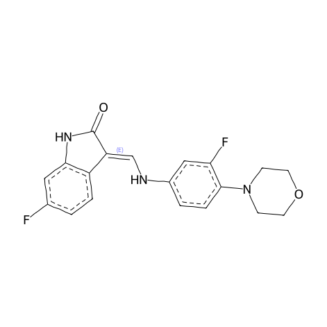 O=C1Nc2cc(F)ccc2/C1=C\Nc1ccc(N2CCOCC2)c(F)c1